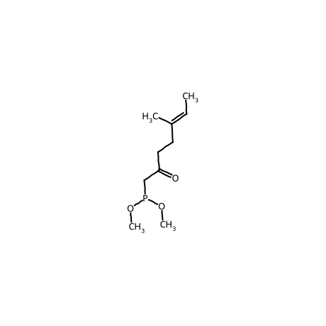 C/C=C(\C)CCC(=O)CP(OC)OC